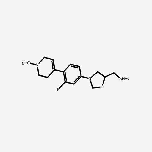 CC(=O)NCC1CN(c2ccc(C3=CCN(C=O)CC3)c(F)c2)CO1